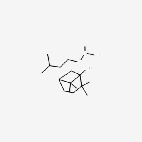 CC(C)CCOB(O)O.CC1(O)CCC2CC1(O)C2(C)C